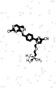 C[Si](C)(C)CCOCn1cc(C#N)nc1-c1ccc(Cn2ncc3cnc(Cl)nc32)cc1